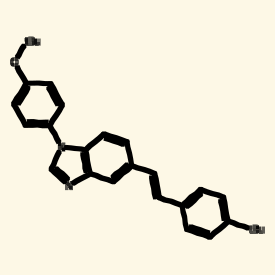 CC(C)(C)Oc1ccc(-n2cnc3cc(C=Cc4ccc(C(C)(C)C)cc4)ccc32)cc1